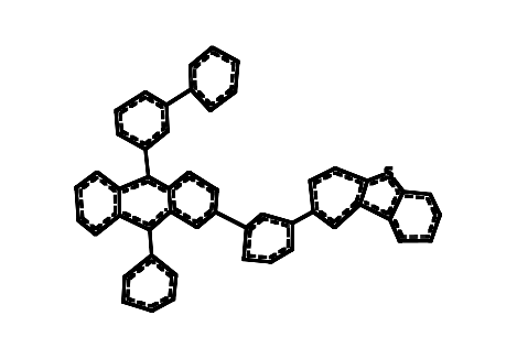 c1ccc(-c2cccc(-c3c4ccccc4c(-c4ccccc4)c4cc(-c5cccc(-c6ccc7sc8ccccc8c7c6)c5)ccc34)c2)cc1